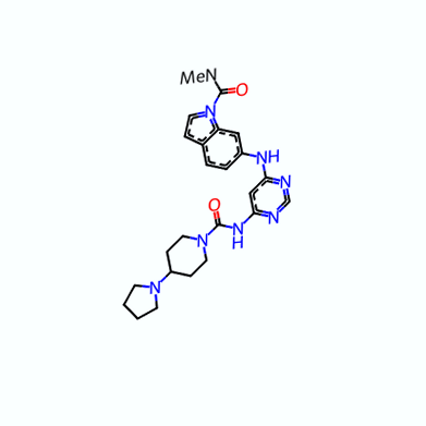 CNC(=O)n1ccc2ccc(Nc3cc(NC(=O)N4CCC(N5CCCC5)CC4)ncn3)cc21